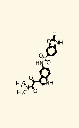 CN(C)C(=O)C(=O)c1c[nH]c2ccc(NS(=O)(=O)c3ccc4[nH]c(=O)oc4c3)cc12